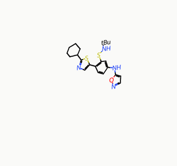 CC(C)(C)NSc1cc(Nc2ccno2)ccc1-c1cnc(C2CCCCC2)s1